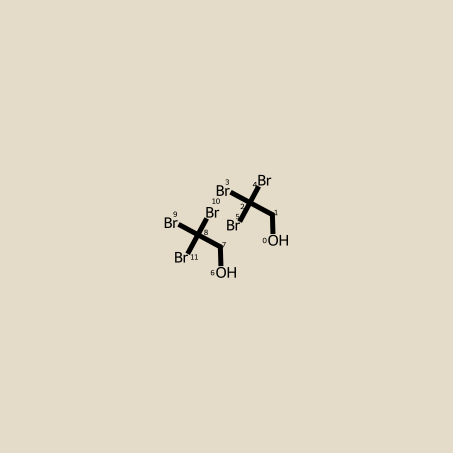 OCC(Br)(Br)Br.OCC(Br)(Br)Br